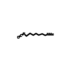 CNCCCCCCCN=C=O